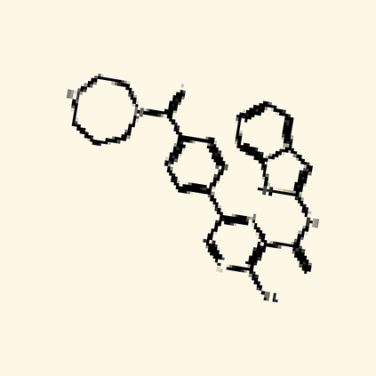 C=C(Nc1cc2ccccc2[nH]1)c1nc(-c2ccc(C(=O)N3CCCNCC3)cc2)cnc1N